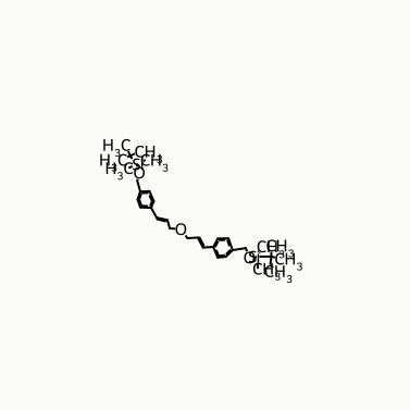 CC(C)(C)[Si](C)(C)OCc1ccc(C=CCOCC=Cc2ccc(CO[Si](C)(C)C(C)(C)C)cc2)cc1